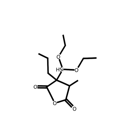 CCCC1([SiH](OCC)OCC)C(=O)OC(=O)C1C